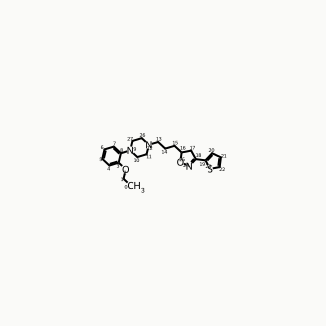 CCOc1ccccc1N1CCN(CCCC2CC(c3cccs3)=NO2)CC1